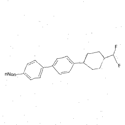 CCCCCCCCCc1ccc(-c2ccc(C3CCC(C(F)F)CC3)cc2)cc1